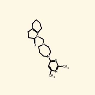 Cc1cc(N2CCCN(CN3C(=O)CCC4=C3CCCC4)CC2)nc(C)n1